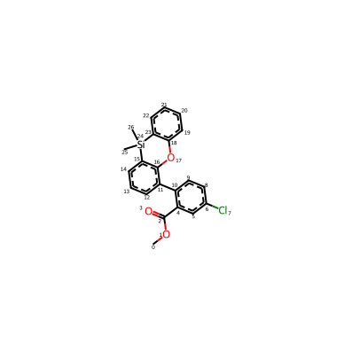 COC(=O)c1cc(Cl)ccc1-c1cccc2c1Oc1ccccc1[Si]2(C)C